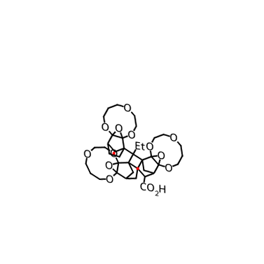 CCC(C12CCC(C1)C13OCCCOCCOC12O3)(C12CCC(C1)C13OCCCOCCOC12O3)C12CC(C(=O)O)C(C1)C13OCCCOCCOC12O3